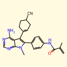 C=C(C)C(=O)Nc1ccc(-c2c(C3=CCC(C#N)CC3)c3c(N)ncnc3n2C)cc1